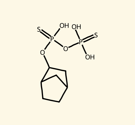 OP(O)(=S)OP(O)(=S)OC1CC2CCC1C2